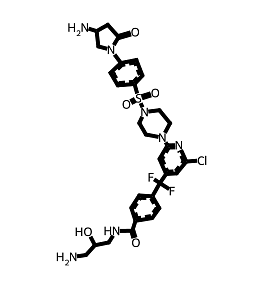 NCC(O)CNC(=O)c1ccc(C(F)(F)c2cc(Cl)nc(N3CCN(S(=O)(=O)c4ccc(N5CC(N)CC5=O)cc4)CC3)c2)cc1